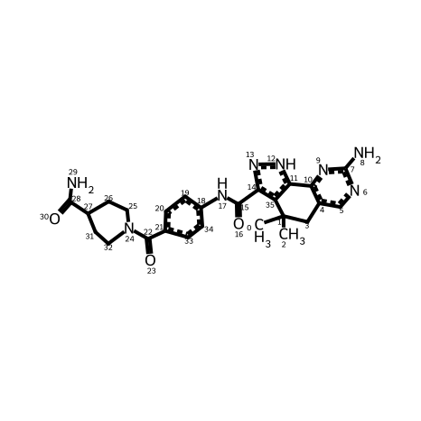 CC1(C)Cc2cnc(N)nc2-c2[nH]nc(C(=O)Nc3ccc(C(=O)N4CCC(C(N)=O)CC4)cc3)c21